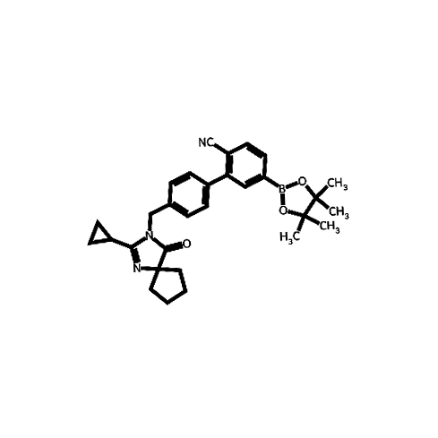 CC1(C)OB(c2ccc(C#N)c(-c3ccc(CN4C(=O)C5(CCCC5)N=C4C4CC4)cc3)c2)OC1(C)C